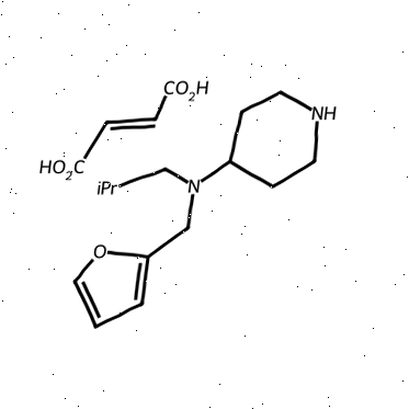 CC(C)CN(Cc1ccco1)C1CCNCC1.O=C(O)/C=C/C(=O)O